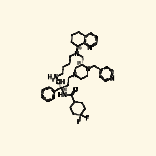 NCCCCN(C[C@H]1CN(CC[C@@](O)(NC(=O)C2CCC(F)(F)CC2)c2ccccc2)CCN1Cc1ccncc1)[C@H]1CCCc2cccnc21